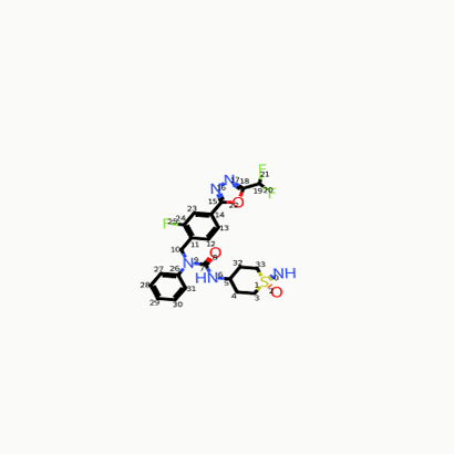 N=S1(=O)CCC(NC(=O)N(Cc2ccc(-c3nnc(C(F)F)o3)cc2F)c2ccccc2)CC1